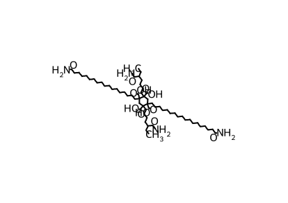 CCC(CCCCC1(C(=O)O)CC(CCCCCCCCCCCCCCCCCC(N)=O)(C(=O)O)C(CCCCC(CC)C(N)=O)(C(=O)O)CC1(CCCCCCCCCCCCCCCCCC(N)=O)C(=O)O)C(N)=O